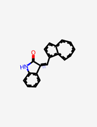 O=C1Nc2ccccc2/C1=C/c1ccc2cccccc1-2